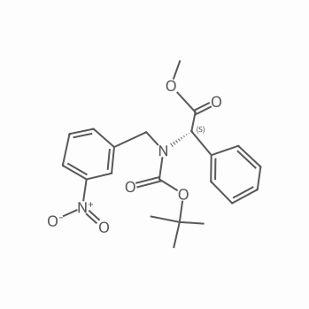 COC(=O)[C@H](c1ccccc1)N(Cc1cccc([N+](=O)[O-])c1)C(=O)OC(C)(C)C